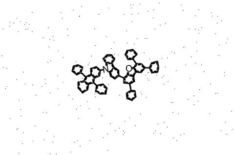 c1ccc(-c2cc(-c3ccccc3)c3oc4c(-c5ccc6c(c5)c5ccccc5n6-c5ccc6c(-c7ccccc7)c7ccccc7c(-c7ccccc7)c6c5)cc(-c5ccccc5)cc4c3c2)cc1